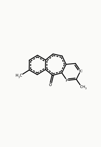 C[C]1=Pc2c(ccc3ccc(C)cc3c2=O)[CH]=[K]1